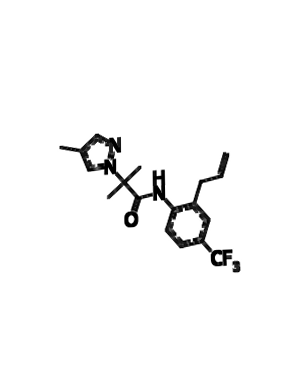 C=CCc1cc(C(F)(F)F)ccc1NC(=O)C(C)(C)n1cc(C)cn1